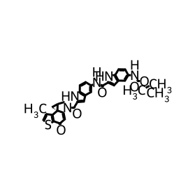 Cc1csc2c1[C@@]13CC1CN(C(=O)c1cc4cc(NC(=O)c5cc6cc(NC(=O)OC(C)(C)C)ccc6[nH]5)ccc4[nH]1)C3=CC2=O